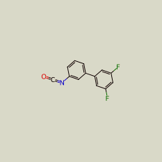 O=C=Nc1cccc(-c2cc(F)cc(F)c2)c1